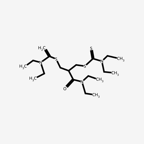 C=C(SCC(CSC(=S)N(CC)CC)C(=O)N(CC)CC)N(CC)CC